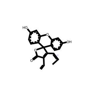 C=CC1=C(/C=C\C)C2(OC1=O)c1ccc(O)cc1Oc1cc(O)ccc12